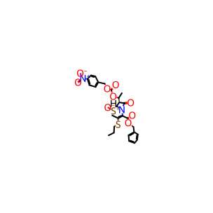 CCCSC1=C(C(=O)OCc2ccccc2)N2C(=O)[C@H](C(C)OC(=O)OCc3ccc([N+](=O)[O-])cc3)[C@H]2[S+]([O-])C1